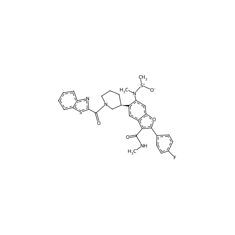 CNC(=O)c1c(-c2ccc(F)cc2)oc2cc(N(C)[S+](C)[O-])c([C@@H]3CCCN(C(=O)c4nc5ccccc5s4)C3)cc12